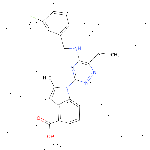 CCc1nnc(-n2c(C)cc3c(C(=O)O)cccc32)nc1NCc1cccc(F)c1